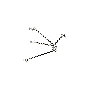 CCCCCCCCCCCCCCCCCC(=O)OC(=O)C(CCCCCCCC)(CCCCCCCCCCCC)CCCCCCCCCCCCCCCC